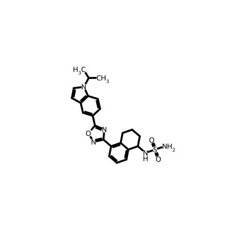 CC(C)n1ccc2cc(-c3nc(-c4cccc5c4CCCC5NS(N)(=O)=O)no3)ccc21